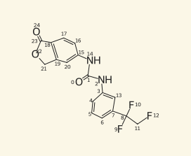 O=C(Nc1cccc(C(F)(F)CF)c1)Nc1ccc2c(c1)COC2=O